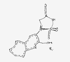 O=C1CN(c2cc3ccccc3cc2O)S(=O)(=O)N1.[K]